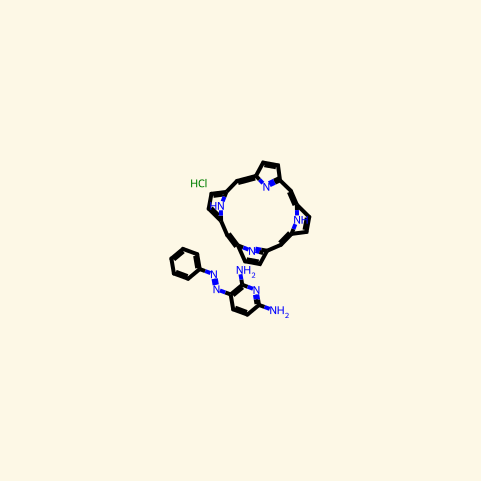 C1=Cc2cc3ccc(cc4nc(cc5ccc(cc1n2)[nH]5)C=C4)[nH]3.Cl.Nc1ccc(/N=N/c2ccccc2)c(N)n1